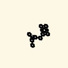 c1ccc(-c2ccc3c(c2)c2cc(-c4cccc(-c5ccc6c(c5)-c5ccccc5C65c6ccccc6C6(c7ccccc7-c7ccccc76)c6ccccc65)c4)ccc2n3-c2ccccc2)cc1